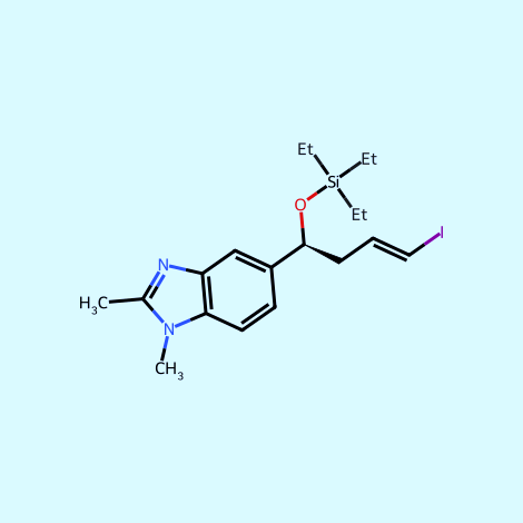 CC[Si](CC)(CC)O[C@@H](C/C=C/I)c1ccc2c(c1)nc(C)n2C